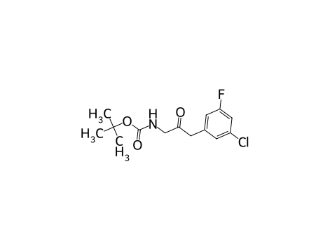 CC(C)(C)OC(=O)NCC(=O)Cc1cc(F)cc(Cl)c1